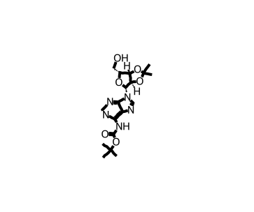 CC(C)(C)OC(=O)Nc1ncnc2c1ncn2[C@@H]1O[C@H](CO)[C@@H]2OC(C)(C)O[C@H]21